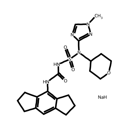 Cn1cnc(N(C2CCOCC2)S(=O)(=O)NC(=O)Nc2c3c(cc4c2CCC4)CCC3)n1.[NaH]